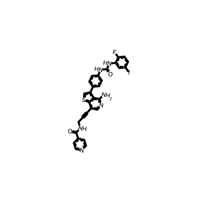 Nc1ncc(C#CCNC(=O)c2ccncc2)c2scc(-c3ccc(NC(=O)Nc4cc(I)ccc4F)cc3)c12